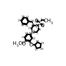 CCS(=O)(=O)N1CCN(c2ccc(OC)c(OC3CCCC3)c2)C[C@H]1Cc1ccccc1